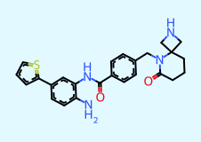 Nc1ccc(-c2cccs2)cc1NC(=O)c1ccc(CN2C(=O)CCCC23CNC3)cc1